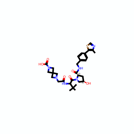 Cc1ncsc1-c1ccc(CNC(=O)[C@@H]2C[C@@H](O)CN2C(=O)C(NC(=O)CN2CC3(C2)CN(C(=O)O)C3)C(C)(C)C)cc1